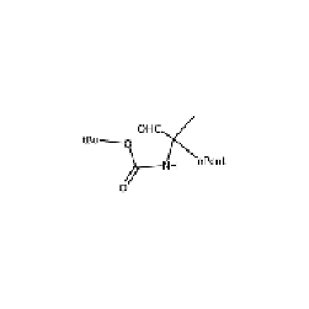 CCCCCC(C)(C=O)NC(=O)OC(C)(C)C